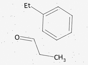 CCC=O.CCc1ccccc1